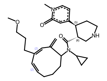 C=C1/C=C(CCCOC)\C=C/CCCC1N(C(=O)[C@H]1CNCC[C@@H]1c1ccn(C)c(=O)c1)C1CC1